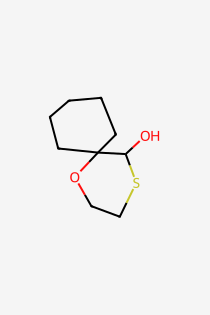 OC1SCCOC12CCCCC2